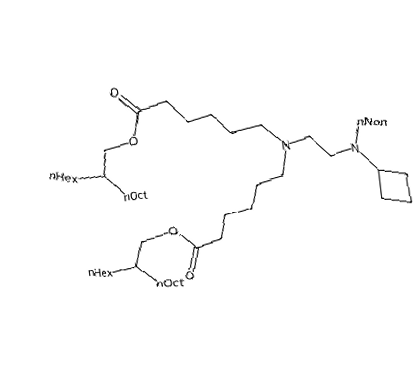 CCCCCCCCCN(CCN(CCCCCC(=O)OCC(CCCCCC)CCCCCCCC)CCCCCC(=O)OCC(CCCCCC)CCCCCCCC)C1CCC1